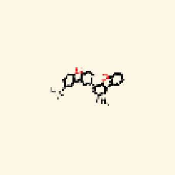 Cc1ccc2oc3c(c2c1)=C[C@H](c1cc(C)cc2c1oc1ccccc12)CC=3